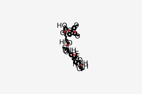 COC(=O)[C@H](CCC(=O)NCCCCCC(=O)N1C[C@H](O)C[C@H]1COC(c1ccccc1)(c1ccc(OC)cc1)c1ccc(OC)cc1)NC(=O)c1ccc(N(Cc2cnc3nc(NC(=O)C(C)C)[nH]c(=O)c3n2)C(=O)C(F)(F)F)cc1